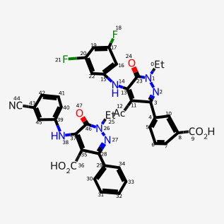 CCn1nc(-c2cccc(C(=O)O)c2)c(C(C)=O)c(Nc2cc(F)cc(F)c2)c1=O.CCn1nc(-c2ccccc2)c(C(=O)O)c(Nc2cccc(C#N)c2)c1=O